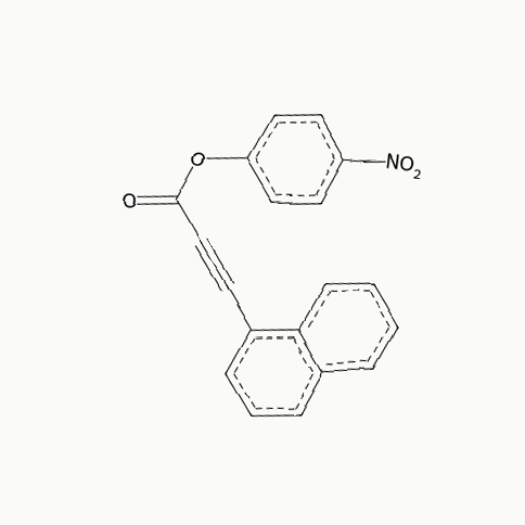 O=C(C#Cc1cccc2ccccc12)Oc1ccc([N+](=O)[O-])cc1